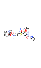 C[C@@H](OC(=O)N[C@H]1CC[C@H](c2ncc(-c3ccc(NC(=O)NCc4ccccc4)cc3S(=O)(=O)NC(C)(C)C)s2)CC1)[C@@H]1CCCN1C